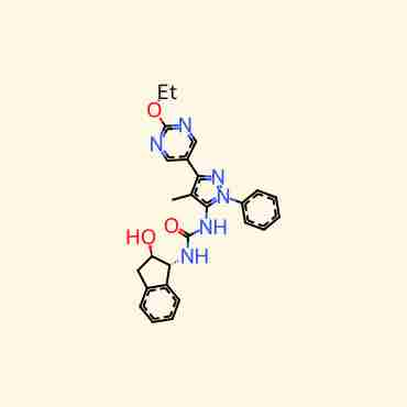 CCOc1ncc(-c2nn(-c3ccccc3)c(NC(=O)N[C@@H]3c4ccccc4C[C@H]3O)c2C)cn1